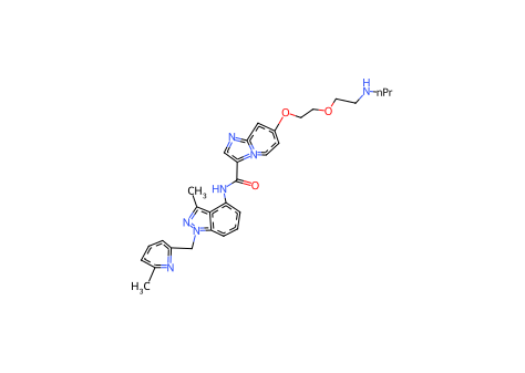 CCCNCCOCCOc1ccn2c(C(=O)Nc3cccc4c3c(C)nn4Cc3cccc(C)n3)cnc2c1